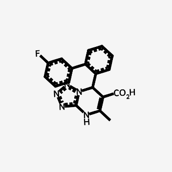 CC1=C(C(=O)O)C(c2ccccc2-c2cccc(F)c2)n2nnnc2N1